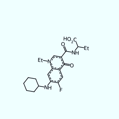 CCC(NC(=O)c1cn(CC)c2cc(NC3CCCCC3)c(F)cc2c1=O)C(=O)O